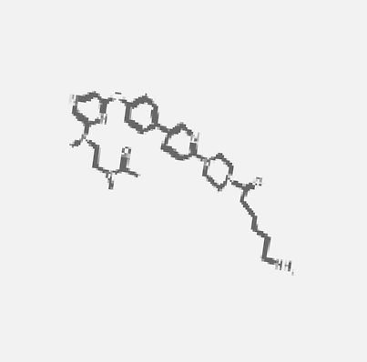 CC(=O)N(C)CCN(C)c1cncc(Oc2ccc(-c3ccc(N4CCN(C(=O)CCCCCN)CC4)nc3)cc2)n1